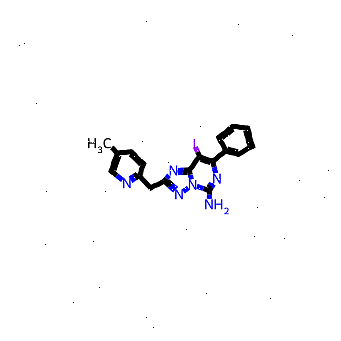 Cc1ccc(Cc2nc3c(I)c(-c4ccccc4)nc(N)n3n2)nc1